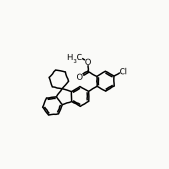 COC(=O)c1cc(Cl)ccc1-c1ccc2c(c1)C1(CCCCC1)c1ccccc1-2